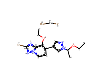 CCOc1c(-c2cnn(C(C)OCC)c2)ccn2nc(Br)nc12.[Br][Cu][Br]